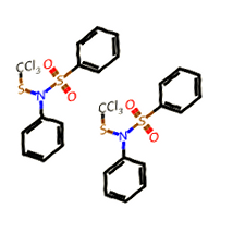 O=S(=O)(c1ccccc1)N(SC(Cl)(Cl)Cl)c1ccccc1.O=S(=O)(c1ccccc1)N(SC(Cl)(Cl)Cl)c1ccccc1